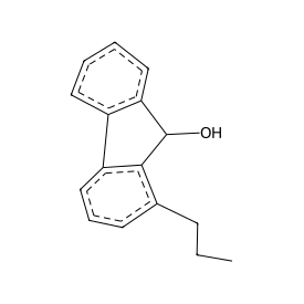 CCCc1cccc2c1C(O)c1ccccc1-2